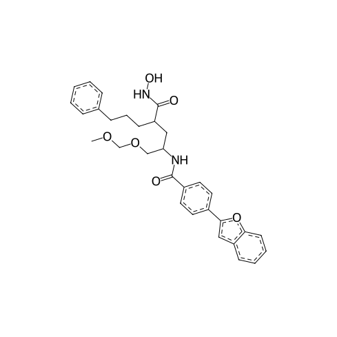 COCOCC(CC(CCCc1ccccc1)C(=O)NO)NC(=O)c1ccc(-c2cc3ccccc3o2)cc1